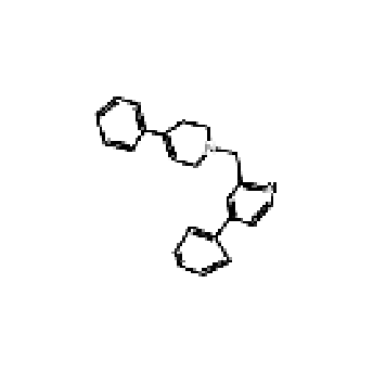 C1=C(c2ccccc2)CCN(Cc2cc(-c3ccccc3)ccn2)C1